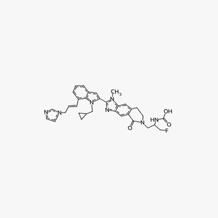 Cn1c(-c2cc3cccc(C=CCn4ccnc4)c3n2CC2CC2)nc2cc3c(cc21)CCN(CC(CF)NC(=O)O)C3=O